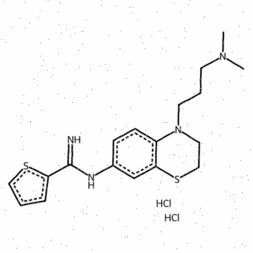 CN(C)CCCN1CCSc2cc(NC(=N)c3cccs3)ccc21.Cl.Cl